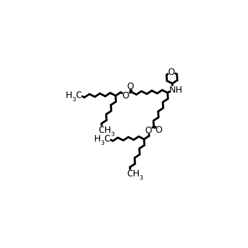 CCCCCCCC(CCCCCCC)COC(=O)CCCCCCC(CCCCCCC(=O)OCC(CCCCCCC)CCCCCCC)NC1CCOCC1